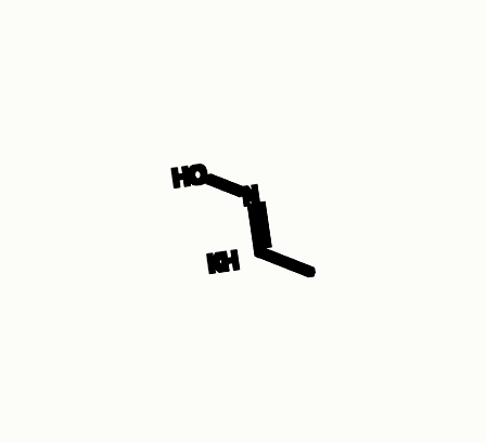 CC=NO.[KH]